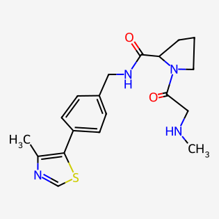 CNCC(=O)N1CCCC1C(=O)NCc1ccc(-c2scnc2C)cc1